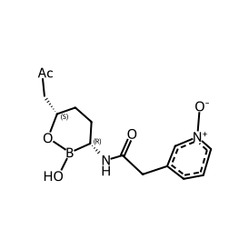 CC(=O)C[C@@H]1CC[C@H](NC(=O)Cc2ccc[n+]([O-])c2)B(O)O1